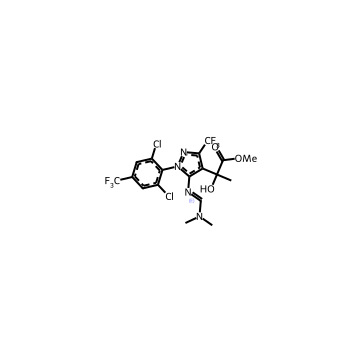 COC(=O)C(C)(O)c1c(C(F)(F)F)nn(-c2c(Cl)cc(C(F)(F)F)cc2Cl)c1/N=C/N(C)C